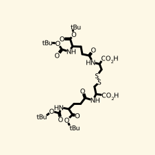 CC(C)(C)OC(=O)NC(CCC(=O)NC(CSSCC(NC(=O)CCC(NC(=O)OC(C)(C)C)C(=O)OC(C)(C)C)C(=O)O)C(=O)O)C(=O)OC(C)(C)C